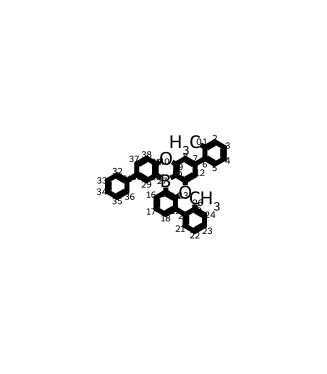 Cc1ccccc1-c1cc2c3c(c1)Oc1c(cccc1-c1ccccc1C)B3c1cc(-c3ccccc3)ccc1O2